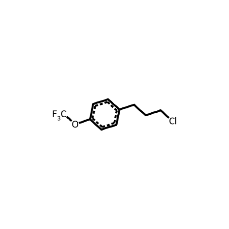 FC(F)(F)Oc1ccc(CCCCl)cc1